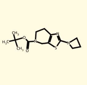 CC(C)(C)OC(=O)N1CCc2nc(N3CCC3)sc2C1